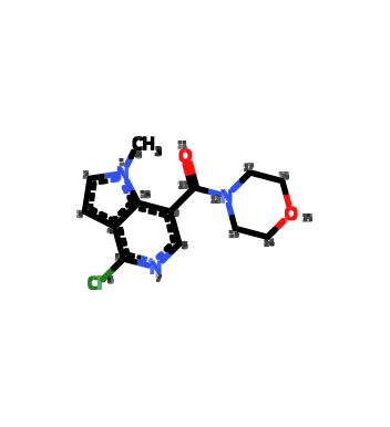 Cn1ccc2c(Cl)ncc(C(=O)N3CCOCC3)c21